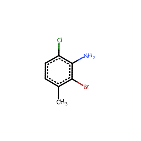 Cc1ccc(Cl)c(N)c1Br